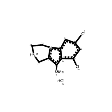 COc1c2n(c3cc(Cl)cc(Cl)c13)CCNC2.Cl